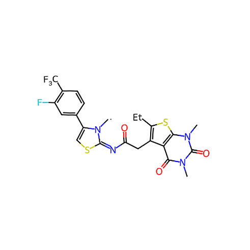 [CH2]n1c(-c2ccc(C(F)(F)F)c(F)c2)csc1=NC(=O)Cc1c(CC)sc2c1c(=O)n(C)c(=O)n2C